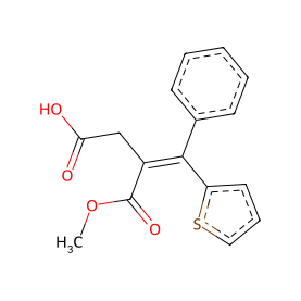 COC(=O)/C(CC(=O)O)=C(/c1ccccc1)c1cccs1